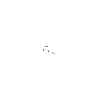 [Co].[Cu].[Li].[Ti]